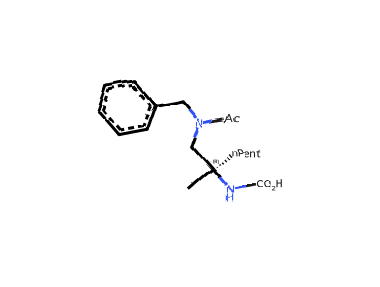 CCCCC[C@](C)(CN(Cc1ccccc1)C(C)=O)NC(=O)O